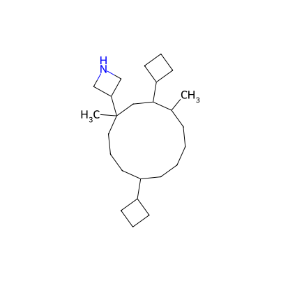 CC1CCCCC(C2CCC2)CCCC(C)(C2CNC2)CC1C1CCC1